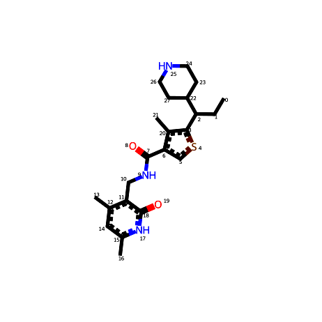 CCC(c1scc(C(=O)NCc2c(C)cc(C)[nH]c2=O)c1C)C1CCNCC1